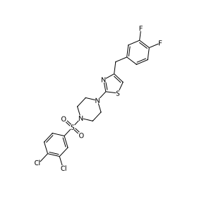 O=S(=O)(c1ccc(Cl)c(Cl)c1)N1CCN(c2nc(Cc3ccc(F)c(F)c3)cs2)CC1